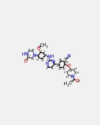 COc1cc(Nc2nccc(-c3ccc(OC4CCN(C(C)=O)CC4)c(C#N)c3)n2)ccc1N1CCNC(=O)C1